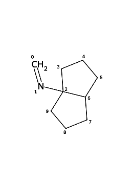 C=NC12CCCC1CCC2